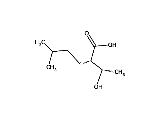 CC(C)CC[C@H](C(=O)O)[C@H](C)O